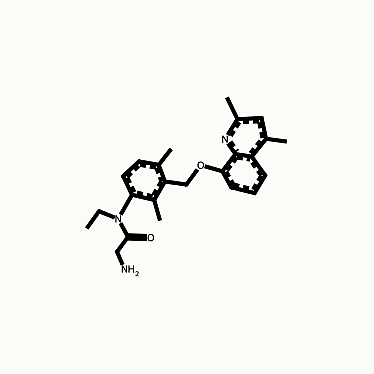 CCN(C(=O)CN)c1ccc(C)c(COc2cccc3c(C)cc(C)nc23)c1C